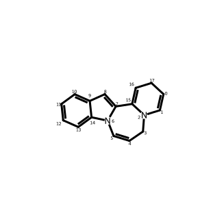 C1=CN2CC=Cn3c(cc4ccccc43)C2=CC1